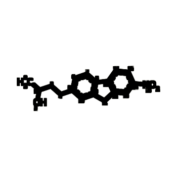 CC(O)CCc1ccc2c(c1)Cc1cc([N+](=O)[O-])ccc1-2